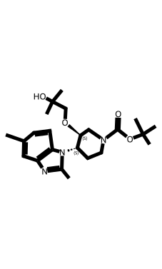 Cc1ccc2c(c1)nc(C)n2[C@H]1CCN(C(=O)OC(C)(C)C)C[C@@H]1OCC(C)(C)O